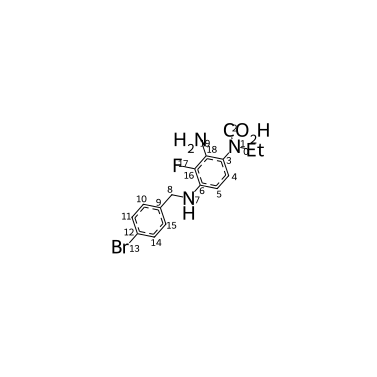 CCN(C(=O)O)c1ccc(NCc2ccc(Br)cc2)c(F)c1N